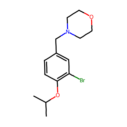 CC(C)Oc1ccc(CN2CCOCC2)cc1Br